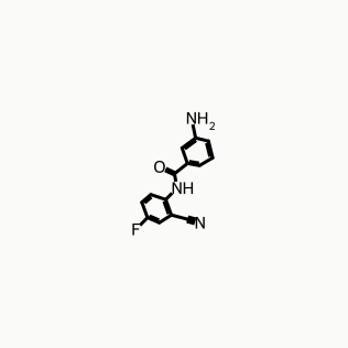 N#Cc1cc(F)ccc1NC(=O)c1cccc(N)c1